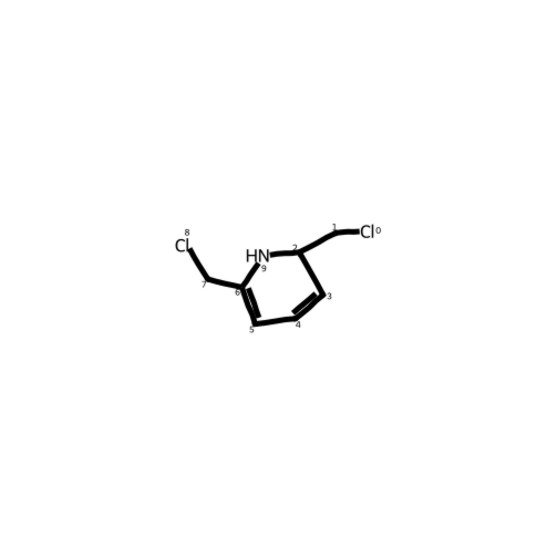 ClC[C]1C=CC=C(CCl)N1